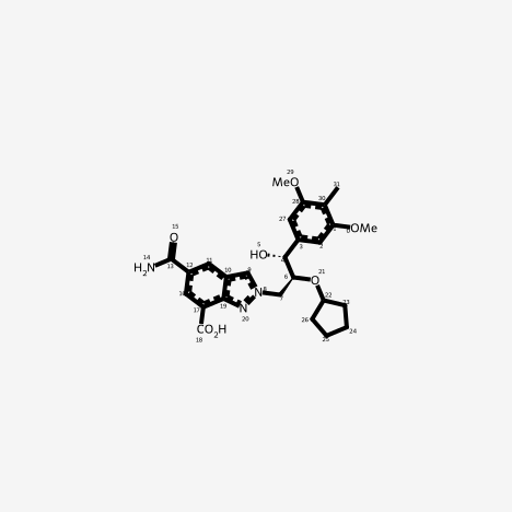 COc1cc([C@@H](O)[C@H](Cn2cc3cc(C(N)=O)cc(C(=O)O)c3n2)OC2CCCC2)cc(OC)c1C